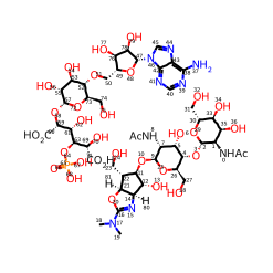 CC(=O)N[C@H]1[C@H](O[C@H]2[C@@H](O)[C@@H](NC(C)=O)[C@H](O[C@H]3[C@H](O)[C@H]4N=C(N(C)C)O[C@H]4[C@@H]3CO)O[C@@H]2CO)O[C@H](CO)[C@@H](O)[C@H]1O.Nc1ncnc2c1ncn2[C@@H]1O[C@H](CO[C@H]2[C@H](O)[C@@H](O)[C@@H](O[C@@H](C(=O)O)[C@H](O)[C@H](OP(=O)(O)O)[C@H](O)C(=O)O)O[C@@H]2CO)[C@@H](O)[C@H]1O